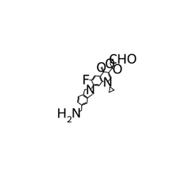 NCc1ccc2c(c1)CN(c1cc3c(cc1F)c(=O)c(C(=O)OC=O)cn3C1CC1)C2